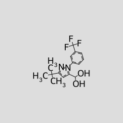 CC(C)(C)c1cc(C(O)O)n(-c2cccc(C(F)(F)F)c2)n1